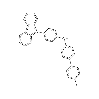 Cc1ccc(-c2ccc(Nc3ccc(-n4c5ccccc5c5ccccc54)cc3)cc2)cc1